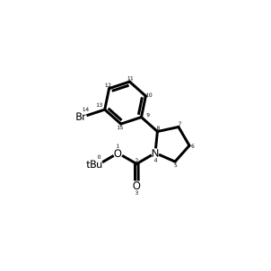 CC(C)(C)OC(=O)N1CCCC1c1cccc(Br)c1